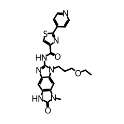 CCOCCCn1c(NC(=O)c2csc(-c3ccncc3)n2)nc2cc3[nH]c(=O)n(C)c3cc21